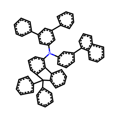 c1ccc(-c2cc(-c3ccccc3)cc(N(c3cccc(-c4cccc5ccccc45)c3)c3cccc4c3-c3ccccc3C4(c3ccccc3)c3ccccc3)c2)cc1